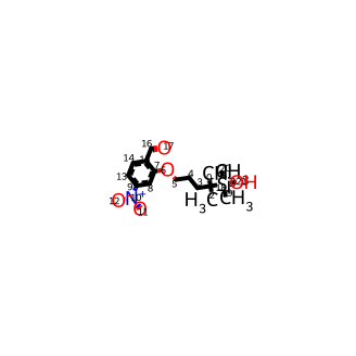 CC(C)(CCCOc1cc([N+](=O)[O-])ccc1C=O)[Si](C)(C)O